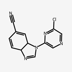 N#CC1=CC2C(C=C1)N=CN2c1cncc(Cl)n1